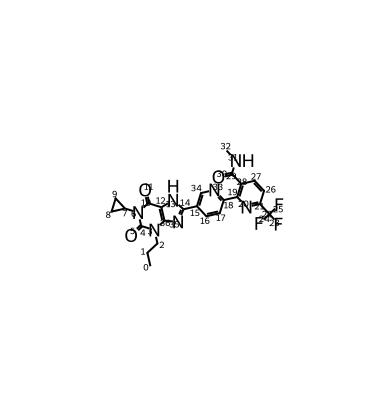 CCCn1c(=O)n(C2CC2)c(=O)c2[nH]c(-c3ccc(-c4nc(C(F)(F)F)ccc4C(=O)NC)nc3)nc21